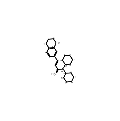 C=C(/C=C/c1ccc2c(c1)OCCC2)N(C1CCCCC1)C1CCCCC1